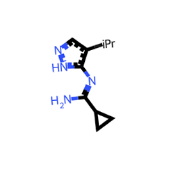 CC(C)c1cn[nH]c1N=C(N)C1CC1